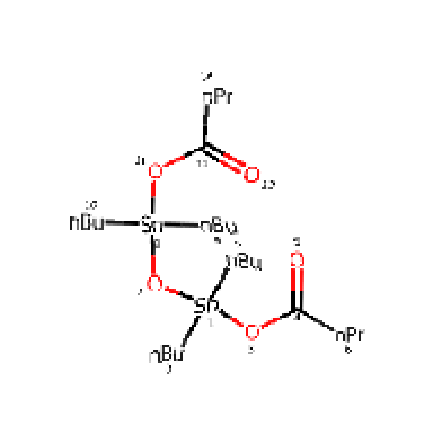 CCC[CH2][Sn]([CH2]CCC)([O]C(=O)CCC)[O][Sn]([CH2]CCC)([CH2]CCC)[O]C(=O)CCC